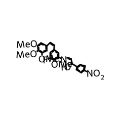 COc1cc(/C=C\c2cc(F)c(OC)c(N/C=C\C(=O)c3ccc([N+](=O)[O-])cc3)c2)cc(OC)c1OC